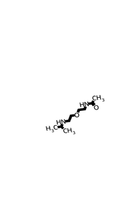 CC(=O)NCCOCCNC(C)C